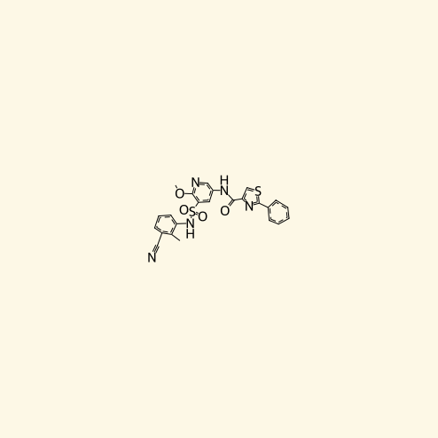 COc1ncc(NC(=O)c2csc(-c3ccccc3)n2)cc1S(=O)(=O)Nc1cccc(C#N)c1C